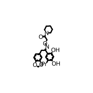 CC(C)c1cc(/C(Cc2ccc3c(c2)OCO3)=N/OCC(=O)N2CCCCC2)c(O)cc1O